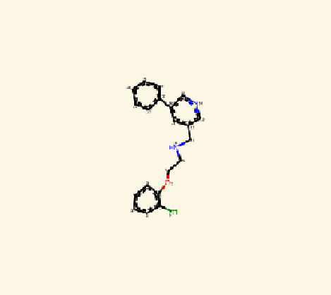 Clc1ccccc1OCCNCc1cncc(-c2ccccc2)c1